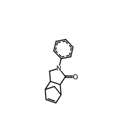 O=C1C2C3C=CC(C3)C2CN1c1ccccc1